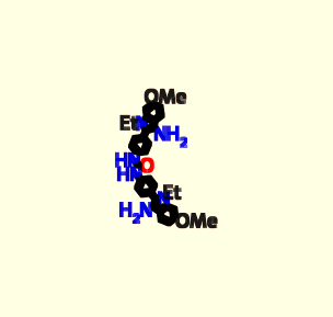 CCn1c(-c2ccc(NC(=O)Nc3ccc(-c4c(N)c5ccc(OC)cc5n4CC)cc3)cc2)c(N)c2ccc(OC)cc21